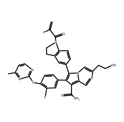 C=C(F)C(=O)N1CCc2cc(-c3c(-c4ccc(Oc5nccc(C)n5)c(F)c4)c(C(N)=O)c4cnc(CCO)cn34)ccc21